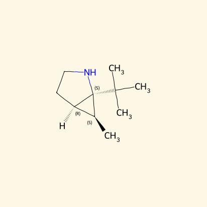 C[C@H]1[C@H]2CCN[C@]21C(C)(C)C